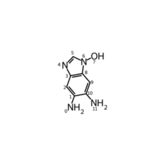 Nc1cc2ncn(O)c2cc1N